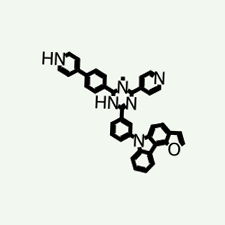 CN1C(c2ccncc2)N=C(c2cccc(-n3c4ccccc4c4c5occc5ccc43)c2)NC1c1ccc(C2=CCNC=C2)cc1